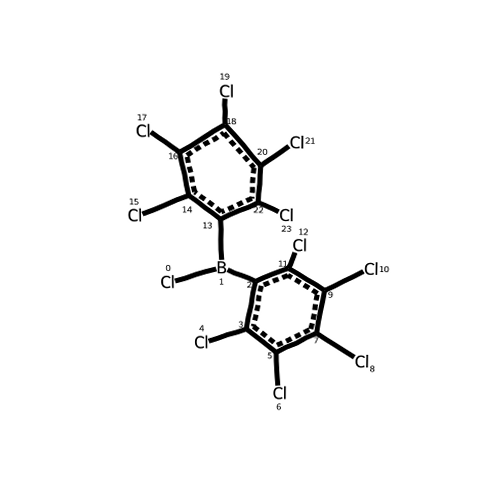 ClB(c1c(Cl)c(Cl)c(Cl)c(Cl)c1Cl)c1c(Cl)c(Cl)c(Cl)c(Cl)c1Cl